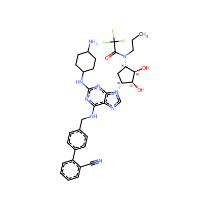 CCCN(C(=O)C(F)(F)F)[C@H]1C[C@@H](n2cnc3c(NCc4ccc(-c5ccccc5C#N)cc4)nc(NC4CCC(N)CC4)nc32)[C@H](O)[C@@H]1O